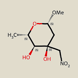 CO[C@@H]1C[C@](O)(C[N+](=O)[O-])[C@@H](O)[C@H](C)O1